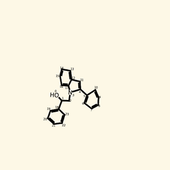 OC(Cn1c(-c2ccccc2)cc2ccccc21)c1ccccc1